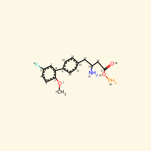 COc1ccc(F)cc1-c1ccc(CC(N)CC(=O)OP)cc1